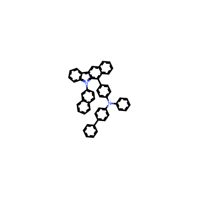 c1ccc(-c2ccc(N(c3ccccc3)c3ccc(-c4c5ccccc5cc5c6ccccc6n(-c6ccc7ccccc7c6)c45)cc3)cc2)cc1